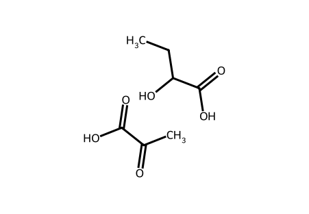 CC(=O)C(=O)O.CCC(O)C(=O)O